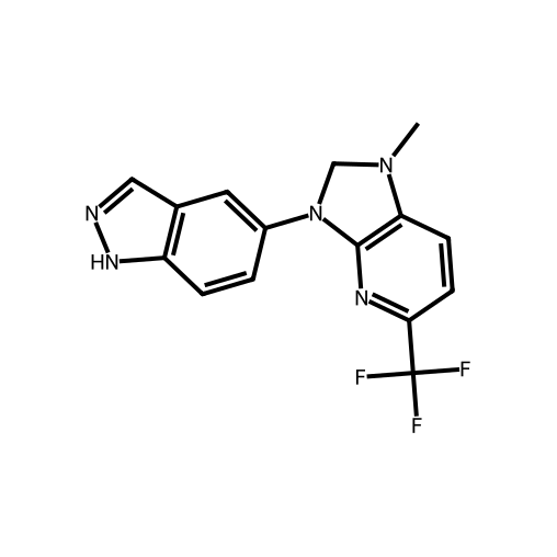 CN1CN(c2ccc3[nH]ncc3c2)c2nc(C(F)(F)F)ccc21